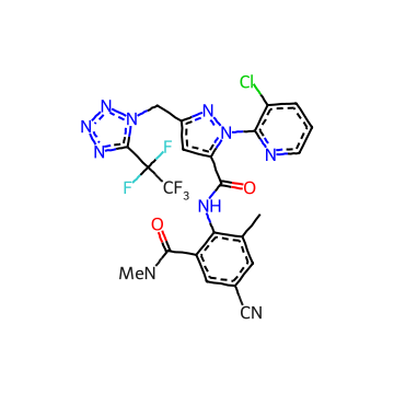 CNC(=O)c1cc(C#N)cc(C)c1NC(=O)c1cc(Cn2nnnc2C(F)(F)C(F)(F)F)nn1-c1ncccc1Cl